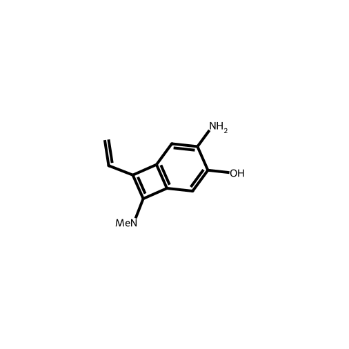 C=CC1=C(NC)c2cc(O)c(N)cc21